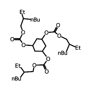 CCCCC(CC)COC(=O)OC1CC(OC(=O)OCC(CC)CCCC)CC(OC(=O)OCC(CC)CCCC)C1